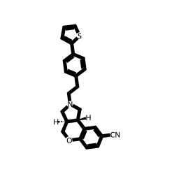 N#Cc1ccc2c(c1)[C@H]1CN(CCc3ccc(-c4cccs4)cc3)C[C@@H]1CO2